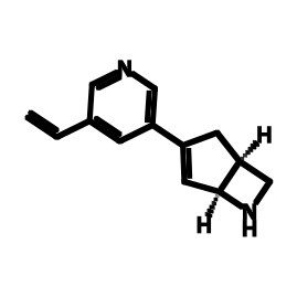 C=Cc1cncc(C2=C[C@@H]3NC[C@@H]3C2)c1